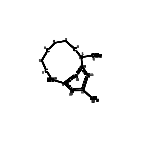 CON1CCCCCCNc2nc(N)nc1n2